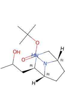 CC(O)C[C@H]1NC[C@@H]2CC[C@H]1N2C(=O)OC(C)(C)C